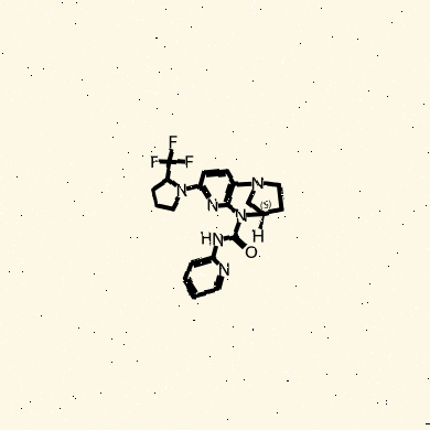 O=C(Nc1ccccn1)N1c2nc(N3CCCC3C(F)(F)F)ccc2N2CC[C@H]1C2